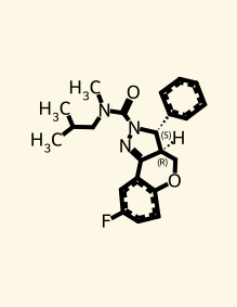 CC(C)CN(C)C(=O)N1N=C2c3cc(F)ccc3OC[C@@H]2[C@H]1c1ccccc1